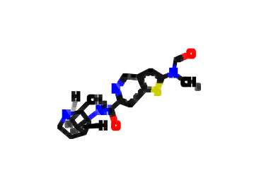 C[C@H]1[C@H](NC(=O)c2cc3sc(N(C)C=O)cc3cn2)C2CCN1CC2